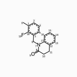 Cc1cccc(CN2C(=O)CCc3ccccc32)c1F